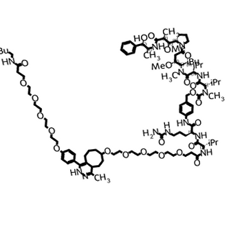 CC[C@H](C)[C@@H]([C@@H](CC(=O)N1CCC[C@H]1[C@H](OC)[C@@H](C)C(=O)N[C@H](C)[C@@H](O)c1ccccc1)OC)N(C)C(=O)[C@@H](NC(=O)[C@H](C(C)C)N(C)C(=O)OCc1ccc(NC(=O)[C@H](CCCNC(N)=O)NC(=O)[C@@H](NC(=O)CCOCCOCCOCCOCCOC2CCCC3=C(c4ccc(OCCOCCOCCOCCOCCC(=O)NCC(C)(C)C)cc4)NN=C(C)C3CC2)C(C)C)cc1)C(C)C